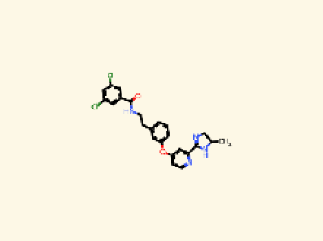 CC1CN=C(c2cc(Oc3cccc(CCNC(=O)c4cc(Cl)cc(Cl)c4)c3)ccn2)N1